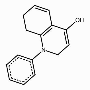 OC1=CCN(c2ccccc2)C2=C1C=CCC2